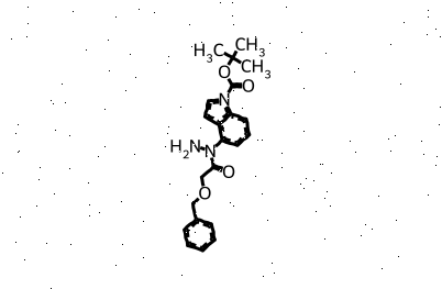 CC(C)(C)OC(=O)n1ccc2c(N(N)C(=O)COCc3ccccc3)cccc21